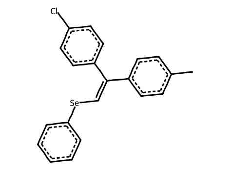 Cc1ccc(C(=C[Se]c2ccccc2)c2ccc(Cl)cc2)cc1